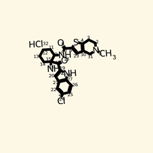 CN1CCc2sc(C(=O)NC3CCCCC3(N)C(=O)c3cc4cc(Cl)ccc4[nH]3)cc2C1.Cl